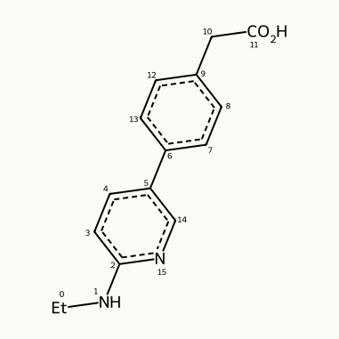 [CH2]CNc1ccc(-c2ccc(CC(=O)O)cc2)cn1